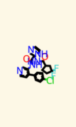 O=C(NC1(C(=O)Nc2cnccc2-c2ccc(Cl)cc2)C=NC=CN1)C1CCC(F)(F)C1